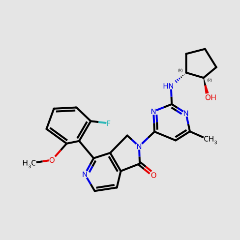 COc1cccc(F)c1-c1nccc2c1CN(c1cc(C)nc(N[C@@H]3CCC[C@H]3O)n1)C2=O